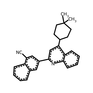 CC1(C)CCC(c2cc(-c3cc(C#N)c4ccccc4c3)nc3ccccc23)CC1